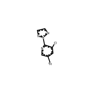 [2H]c1cnc(-n2nccn2)c(Cl)c1